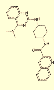 CN(C)c1nc(N[C@H]2CC[C@@H](NC(=O)c3cnc4ccccc4c3)CC2)nc2ccccc12